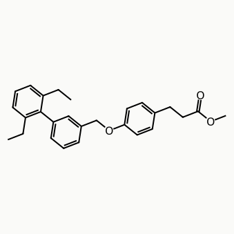 CCc1cccc(CC)c1-c1cccc(COc2ccc(CCC(=O)OC)cc2)c1